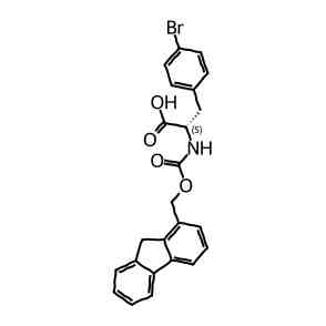 O=C(N[C@@H](Cc1ccc(Br)cc1)C(=O)O)OCc1cccc2c1Cc1ccccc1-2